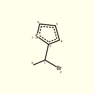 CC(Br)c1cccs1